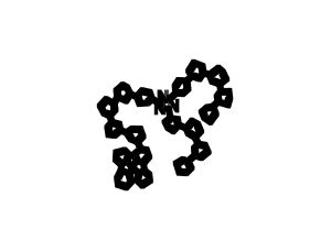 c1ccc(-c2cccc(-c3cccc(-c4cccc(-c5ccc(-c6nc(-c7ccc(-c8cccc(-c9cccc(-c%10cccc(-c%11cccc(-c%12ccc%13c(c%12)C%12(c%14ccccc%14-c%14ccccc%14%12)c%12ccccc%12-%13)c%11)c%10)c9)c8)cc7)nc(-c7cccc(-c8cccc(-c9cccc(-c%10ccccc%10)c9)c8)c7)n6)cc5)c4)c3)c2)cc1